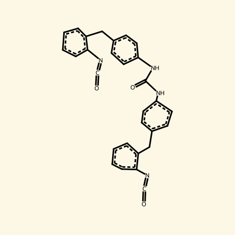 O=C=Nc1ccccc1Cc1ccc(NC(=O)Nc2ccc(Cc3ccccc3N=C=O)cc2)cc1